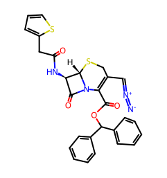 [N-]=[N+]=CC1=C(C(=O)OC(c2ccccc2)c2ccccc2)N2C(=O)[C@@H](NC(=O)Cc3cccs3)[C@@H]2SC1